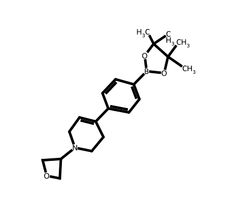 CC1(C)OB(c2ccc(C3=CCN(C4COC4)CC3)cc2)OC1(C)C